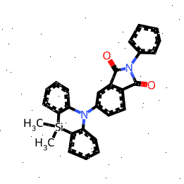 C[Si]1(C)c2ccccc2N(c2ccc3c(c2)C(=O)N(c2ccccc2)C3=O)c2ccccc21